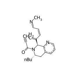 C#CC(=O)N1[C@@H](CCCC)Cc2cccnc2[C@@H]1C(=C)/C=C\C=N/C